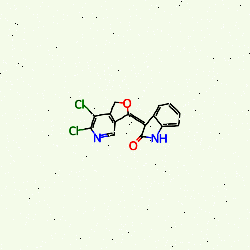 O=C1Nc2ccccc2C1=C1OCc2c1cnc(Cl)c2Cl